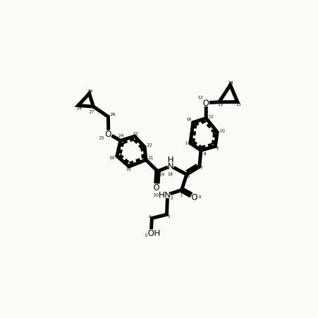 O=C(NCCO)C(=Cc1ccc(OC2CC2)cc1)NC(=O)c1ccc(OCC2CC2)cc1